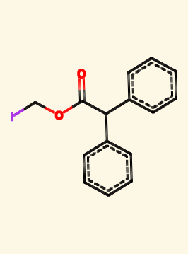 O=C(OCI)C(c1ccccc1)c1ccccc1